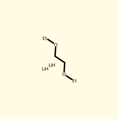 CCOCCOCC.[LiH].[LiH]